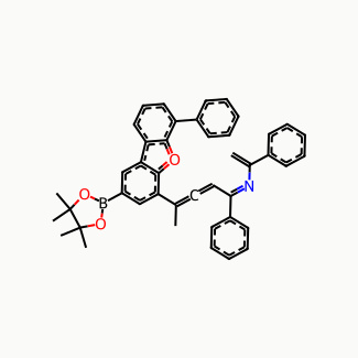 C=C(/N=C(\C=C=C(C)c1cc(B2OC(C)(C)C(C)(C)O2)cc2c1oc1c(-c3ccccc3)cccc12)c1ccccc1)c1ccccc1